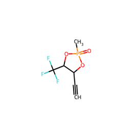 C#CC1OP(C)(=O)OC1C(F)(F)F